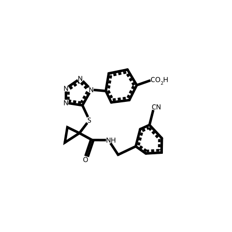 N#Cc1cccc(CNC(=O)C2(Sc3nnnn3-c3ccc(C(=O)O)cc3)CC2)c1